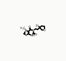 CCC1(CCn2c(=O)[nH]c3ncn(C)c3c2=O)CCOC1